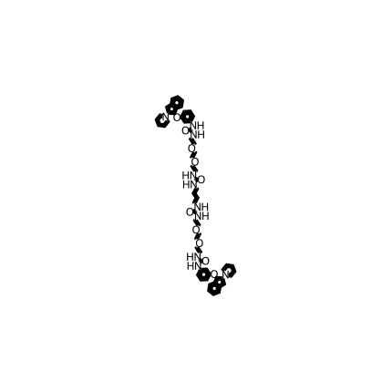 O=C(NCCCCNC(=O)NCCOCCOCCNC(=O)Nc1cccc(O[C@H]2c3ccccc3CC2N2CCCCC2)c1)NCCOCCOCCNC(=O)Nc1cccc(O[C@H]2c3ccccc3CC2N2CCCCC2)c1